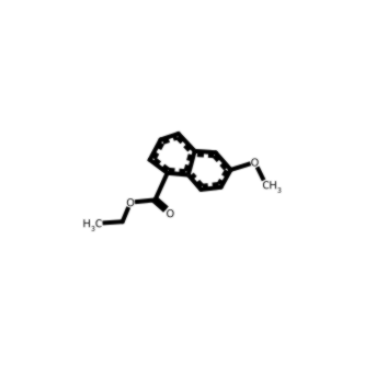 CCOC(=O)c1cccc2cc(OC)ccc12